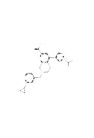 NC(=O)c1cc(-c2cnn(C(F)F)c2)c2c(n1)CN(Cc1ccnc(C3CC3)c1)CC2